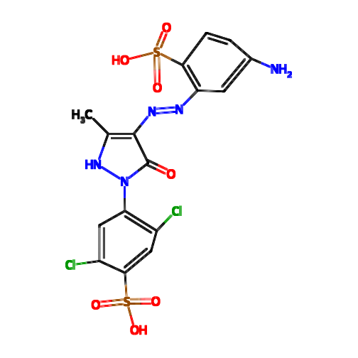 Cc1[nH]n(-c2cc(Cl)c(S(=O)(=O)O)cc2Cl)c(=O)c1N=Nc1cc(N)ccc1S(=O)(=O)O